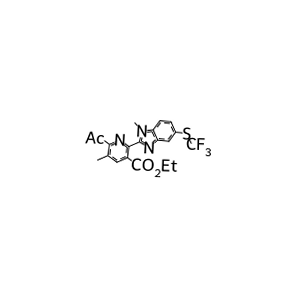 CCOC(=O)c1cc(C)c(C(C)=O)nc1-c1nc2cc(SC(F)(F)F)ccc2n1C